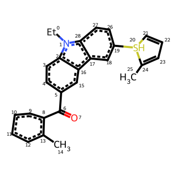 CCn1c2ccc(C(=O)c3ccccc3C)cc2c2cc([SH]3C=CC=C3C)ccc21